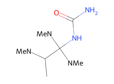 CNC(C)C(NC)(NC)NC(N)=O